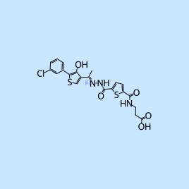 C/C(=N\NC(=O)c1ccc(C(=O)NCCC(=O)O)s1)c1csc(-c2cccc(Cl)c2)c1O